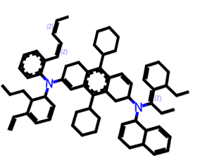 C=CC1=CC=CC(N(C2=Cc3c(c(C4CCCCC4)c4c(c3C3CCCCC3)CC(N(/C(CC)=C3\C=CCCC3CC)C3C=CCC5C=CC=CC53)C=C4)CC2)c2ccccc2/C=C\C=C/C)C1CCC